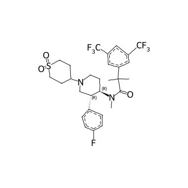 CN(C(=O)C(C)(C)c1cc(C(F)(F)F)cc(C(F)(F)F)c1)[C@@H]1CCN(C2CCS(=O)(=O)CC2)C[C@H]1c1ccc(F)cc1